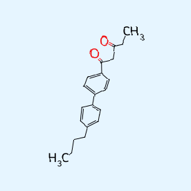 CCCCc1ccc(-c2ccc(C(=O)CC(=O)CC)cc2)cc1